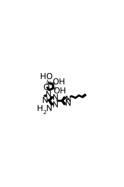 C=CCCCn1cc(-c2nc(N)c3ncn([C@@H]4O[C@H](CO)[C@@H](O)[C@H]4O)c3n2)cn1